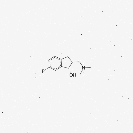 CN(C)C[C@H]1Cc2ccc(F)cc2[C@H]1O